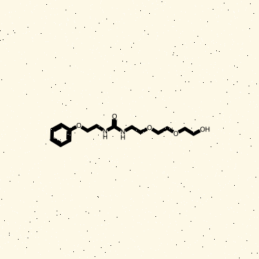 O=C(NCCOCCOCCO)NCCOc1cc[c]cc1